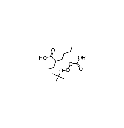 CC(C)(C)OOOC(=O)O.CCCCC(CC)C(=O)O